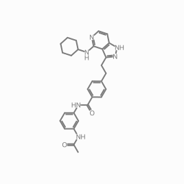 CC(=O)Nc1cccc(NC(=O)c2ccc(CCc3n[nH]c4ccnc(NC5CCCCC5)c34)cc2)c1